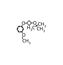 CCOc1cccc(OC2CC(OC(C)(C)C)C2)c1